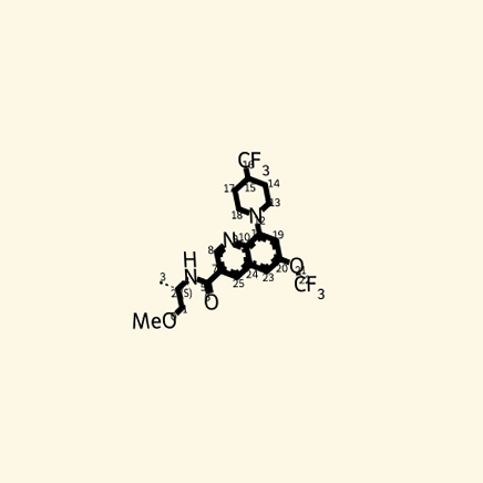 COC[C@H](C)NC(=O)c1cnc2c(N3CCC(C(F)(F)F)CC3)cc(OC(F)(F)F)cc2c1